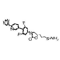 NSCCC[C@H]1CN(c2cc(F)c(-c3ccc(-n4cncn4)nc3)c(F)c2)C(=O)O1